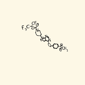 CS(=O)(=O)c1ccc(Oc2ncnc3c2cnn3C2CCN(C(=O)OC(C(F)(F)F)C(F)(F)F)CC2)cc1